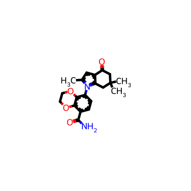 Cc1cc2c(n1-c1ccc(C(N)=O)c3c1OCCO3)CC(C)(C)CC2=O